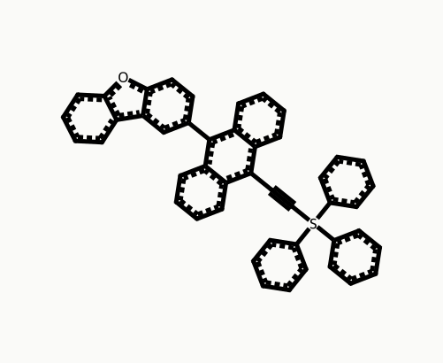 C(#CS(c1ccccc1)(c1ccccc1)c1ccccc1)c1c2ccccc2c(-c2ccc3oc4ccccc4c3c2)c2ccccc12